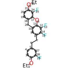 CCOc1ccc(CCc2cc3c(c(F)c2F)Oc2c(ccc(OCC)c2F)C3)cc1F